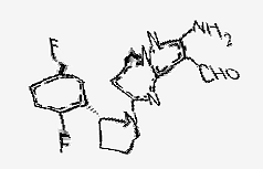 Nc1nn2ccc(N3CCC[C@@H]3c3cc(F)ccc3F)nc2c1C=O